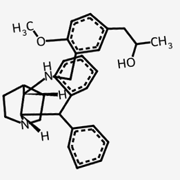 COc1ccc(CC(C)O)cc1CN[C@H]1C2CCN(CC2)[C@H]1C(c1ccccc1)c1ccccc1